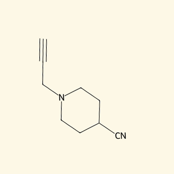 C#CCN1CCC(C#N)CC1